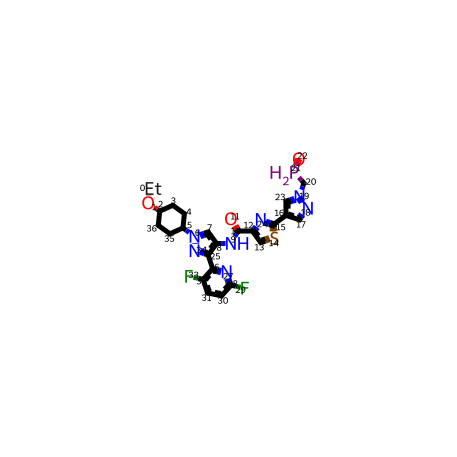 CCOC1CCC(n2cc(NC(=O)c3csc(-c4cnn(C[PH2]=O)c4)n3)c(-c3nc(F)ccc3F)n2)CC1